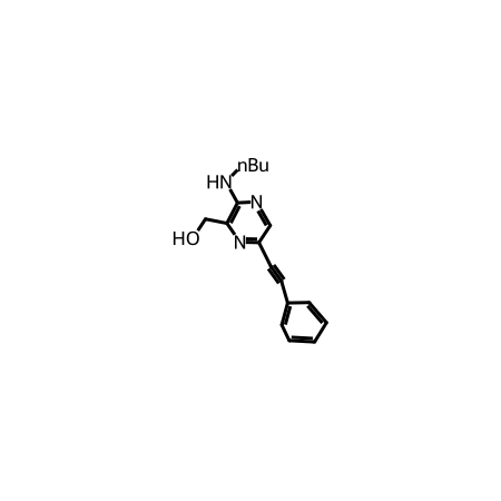 CCCCNc1ncc(C#Cc2ccccc2)nc1CO